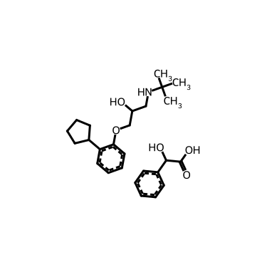 CC(C)(C)NCC(O)COc1ccccc1C1CCCC1.O=C(O)C(O)c1ccccc1